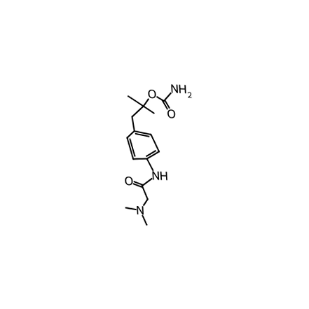 CN(C)CC(=O)Nc1ccc(CC(C)(C)OC(N)=O)cc1